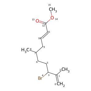 C=C(C)C(Br)CCC(C)CC=CC(=O)OC